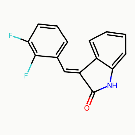 O=C1Nc2ccccc2/C1=C\c1cccc(F)c1F